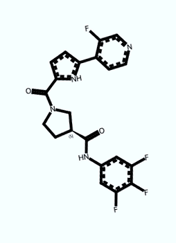 O=C(Nc1cc(F)c(F)c(F)c1)[C@H]1CCN(C(=O)c2ccc(-c3ccncc3F)[nH]2)C1